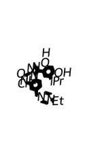 CCN1CCN(Cc2ccc(-n3c(C(N)=O)nnc3-c3cc(C(C)C)c(O)cc3O)c(Cl)c2)CC1